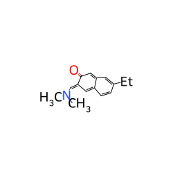 CCc1ccc2c(c1)=CC(=O)C(=CN(C)C)C=2